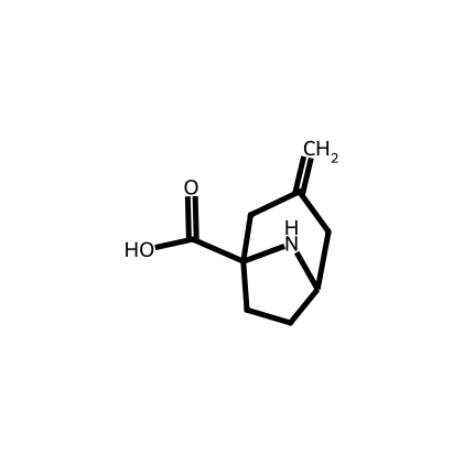 C=C1CC2CCC(C(=O)O)(C1)N2